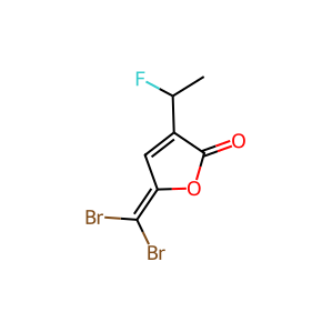 CC(F)C1=CC(=C(Br)Br)OC1=O